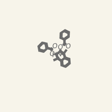 CC12NC(C)(c3ccccc31)C(OC(=O)c1ccccc1)C2OC(=O)c1ccccc1